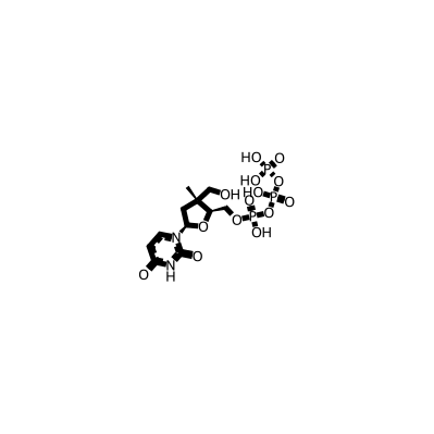 C[C@]1(CO)C[C@H](n2ccc(=O)[nH]c2=O)O[C@@H]1COP(=O)(O)OP(=O)(O)OP(=O)(O)O